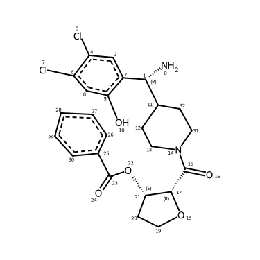 N[C@@H](c1cc(Cl)c(Cl)cc1O)C1CCN(C(=O)[C@@H]2OCC[C@@H]2OC(=O)c2ccccc2)CC1